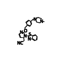 CN1CCN(Cc2ccc(COC3=NC=CC(CC#N)N3c3nc4ccccc4s3)cc2)CC1